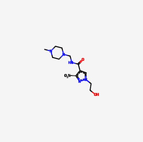 CN1CCN(CNC(=O)c2cn(CCO)nc2[N+](=O)[O-])CC1